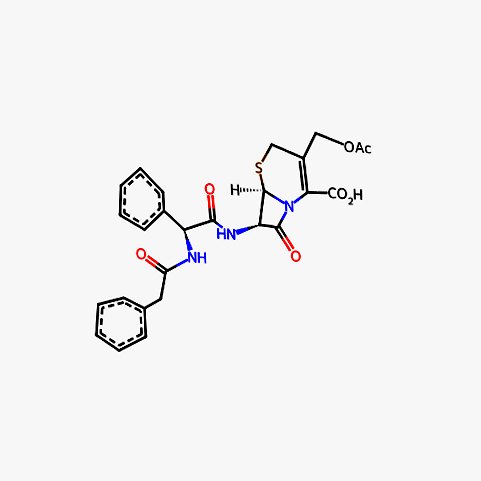 CC(=O)OCC1=C(C(=O)O)N2C(=O)[C@@H](NC(=O)[C@@H](NC(=O)Cc3ccccc3)c3ccccc3)[C@H]2SC1